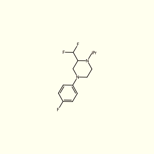 CC(C)N1CCN(c2ccc(F)cc2)CC1C(F)F